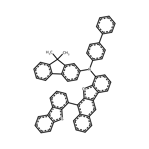 CC1(C)c2ccccc2-c2ccc(N(c3ccc(-c4ccccc4)cc3)c3cccc4c3oc3c(-c5cccc6c5sc5ccccc56)c5ccccc5cc34)cc21